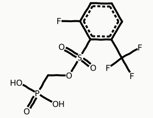 O=P(O)(O)COS(=O)(=O)c1c(F)cccc1C(F)(F)F